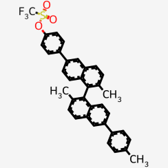 Cc1ccc(-c2ccc3c(-c4c(C)ccc5cc(-c6ccc(OS(=O)(=O)C(F)(F)F)cc6)ccc45)c(C)ccc3c2)cc1